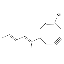 C/C=C/C=C(C)/C1=C/C=C(/S)CC#CC1